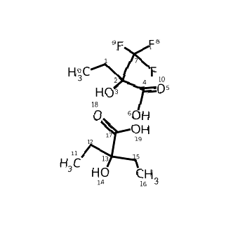 CCC(O)(C(=O)O)C(F)(F)F.CCC(O)(CC)C(=O)O